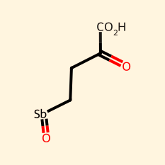 [O]=[Sb][CH2]CC(=O)C(=O)O